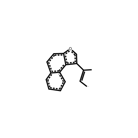 [CH2]C=C(C)c1coc2ccc3ccccc3c12